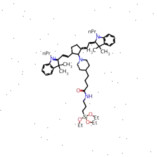 CCCN1/C(=C/C=C2\CCC(/C=C/C3=[N+](CCC)c4ccccc4C3(C)C)C2N2CCC(CCCC(=O)NCCC[Si](OCC)(OCC)OCC)CC2)C(C)(C)c2ccccc21